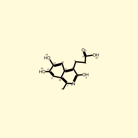 Cc1nc(O)c(CCC(=O)O)c2cc(O)c(O)cc12